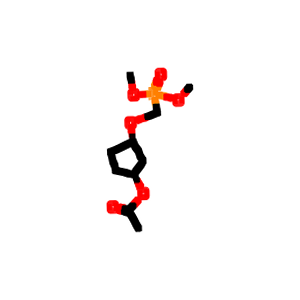 COP(=O)(CO[C@@H]1CC[C@H](OC(C)=O)C1)OC